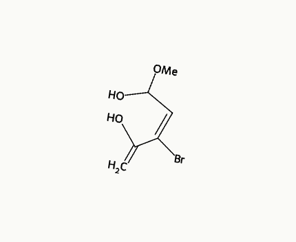 C=C(O)/C(Br)=C\C(O)OC